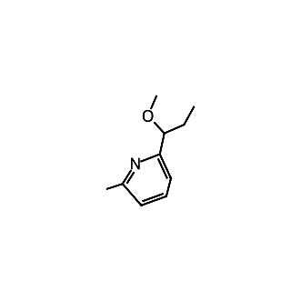 CCC(OC)c1cccc(C)n1